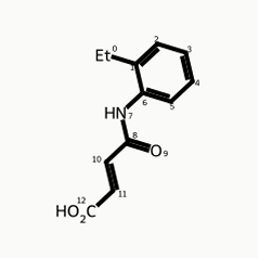 CCc1ccccc1NC(=O)/C=C/C(=O)O